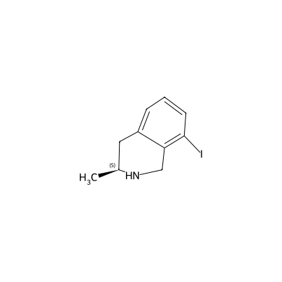 C[C@H]1Cc2cccc(I)c2CN1